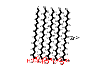 CCCCCCCCCCCCCCCCCC(=O)O.CCCCCCCCCCCCCCCCCC(=O)O.CCCCCCCCCCCCCCCCCC(=O)O.CCCCCCCCCCCCCCCCCC(=O)[O-].CCCCCCCCCCCCCCCCCC(=O)[O-].[Zn+2]